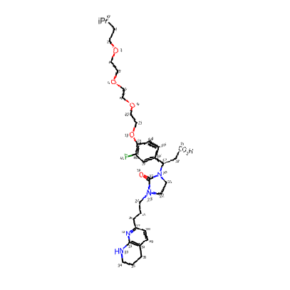 CC(C)CCOCCOCCOCCOc1ccc([C@@H](CC(=O)O)N2CCN(CCCc3ccc4c(n3)NCCC4)C2=O)cc1F